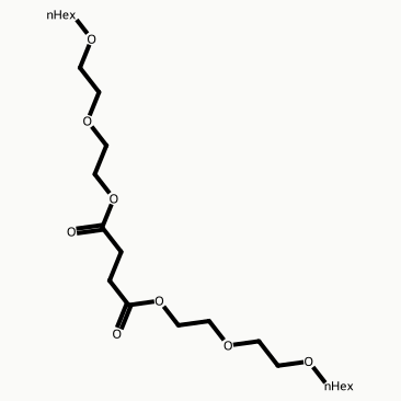 CCCCCCOCCOCCOC(=O)CCC(=O)OCCOCCOCCCCCC